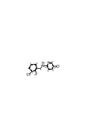 Fc1c(Cl)cccc1CNc1ccc(Cl)cn1